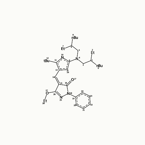 CCCCC(CC)CN(CC(CC)CCCC)c1nc(C(C)(C)C)c(/C=C2\C(=O)N(c3ccccc3)N=C2OCC)s1